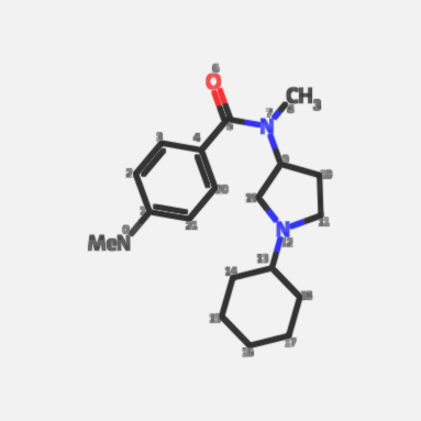 CNc1ccc(C(=O)N(C)C2CCN(C3CCCCC3)C2)cc1